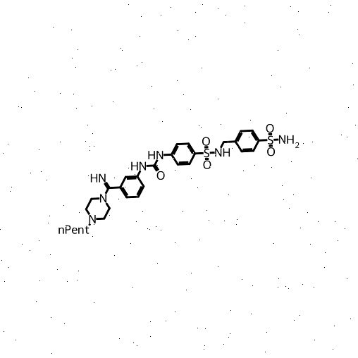 CCCCCN1CCN(C(=N)c2cccc(NC(=O)Nc3ccc(S(=O)(=O)NCc4ccc(S(N)(=O)=O)cc4)cc3)c2)CC1